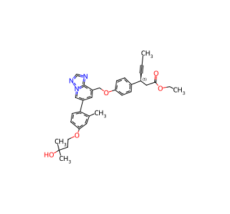 CC#C[C@@H](CC(=O)OCC)c1ccc(OCc2cc(-c3ccc(OCCC(C)(C)O)cc3C)cn3ncnc23)cc1